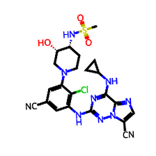 CS(=O)(=O)N[C@@H]1CCN(c2cc(C#N)cc(Nc3nc(NC4CC4)c4ncc(C#N)n4n3)c2Cl)C[C@@H]1O